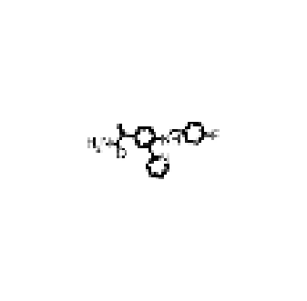 C=C(C(N)=O)c1ccc(NCc2ccc(F)cc2)c(-c2ccccn2)c1